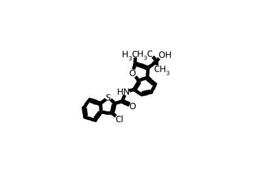 Cc1oc2c(NC(=O)c3sc4ccccc4c3Cl)cccc2c1C(C)(C)O